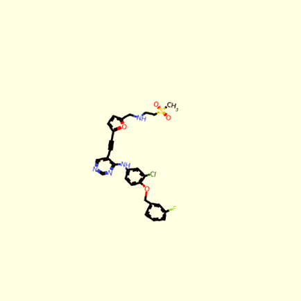 CS(=O)(=O)CCNCc1ccc(C#Cc2cncnc2Nc2ccc(OCc3cccc(F)c3)c(Cl)c2)o1